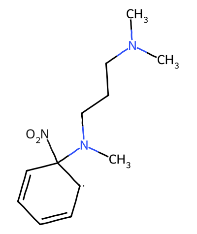 CN(C)CCCN(C)C1([N+](=O)[O-])[CH]C=CC=C1